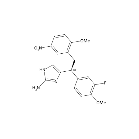 COc1ccc([C@H](Cc2cc([N+](=O)[O-])ccc2OC)c2c[nH]c(N)n2)cc1F